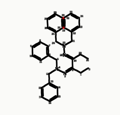 CCC(=NN(Cc1ccccc1)Cc1ccccc1)C(CC)=NN(Cc1ccccc1)Cc1ccccc1